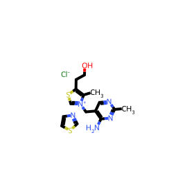 Cc1ncc(C[n+]2csc(CCO)c2C)c(N)n1.[Cl-].c1cscn1